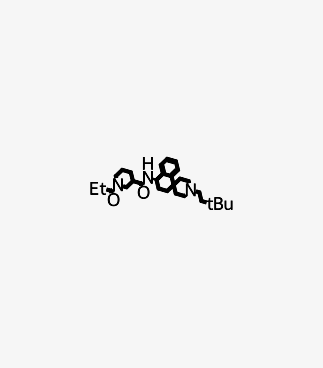 CCC(=O)N1CCCC(C(=O)N[C@@H]2CCC3(CCN(CCC(C)(C)C)CC3)c3ccccc32)C1